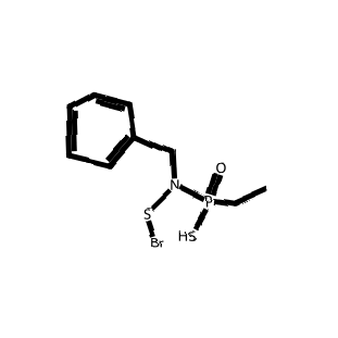 CCP(=O)(S)N(Cc1ccccc1)SBr